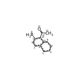 Bc1ccc2ccccc2c1C(C)=O